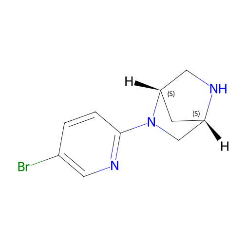 Brc1ccc(N2C[C@@H]3C[C@H]2CN3)nc1